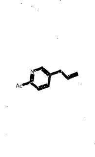 C=CCc1ccc(C(C)=O)nc1